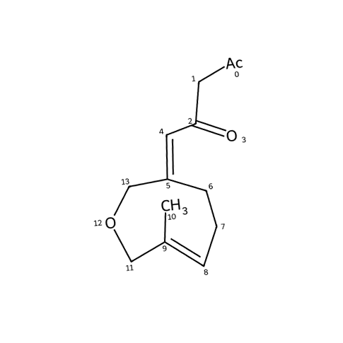 CC(=O)CC(=O)/C=C1\CC/C=C(\C)COC1